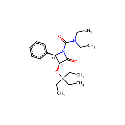 CCN(CC)C(=O)N1C(=O)[C@@H](O[Si](CC)(CC)CC)[C@H]1c1ccccc1